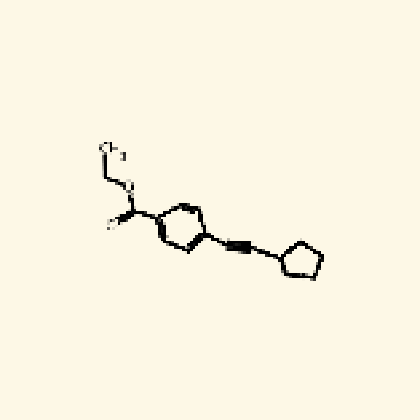 CCOC(=O)c1ccc(C#CC2CCCC2)cc1